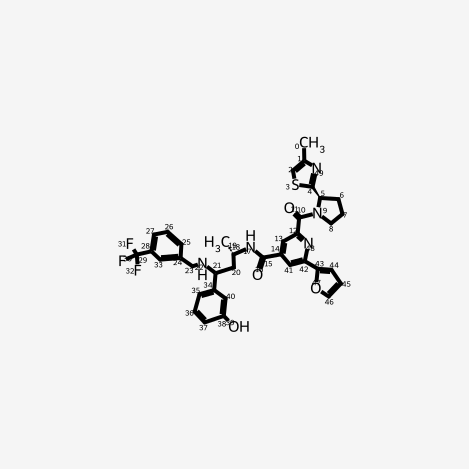 Cc1csc([C@H]2CCCN2C(=O)c2cc(C(=O)N[C@@H](C)CC(NCc3cccc(C(F)(F)F)c3)c3cccc(O)c3)cc(-c3ccco3)n2)n1